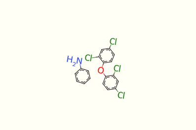 Clc1ccc(Oc2ccc(Cl)cc2Cl)c(Cl)c1.Nc1ccccc1